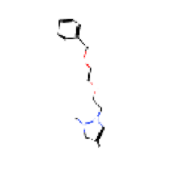 CN1CC(C(=O)O)=CN1CCOCCOCc1ccccc1